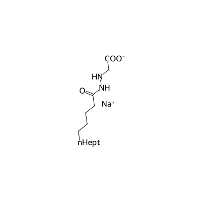 CCCCCCCCCCCC(=O)NNCC(=O)[O-].[Na+]